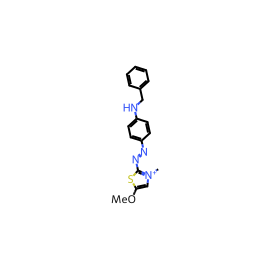 COc1c[n+](C)c(N=Nc2ccc(NCc3ccccc3)cc2)s1